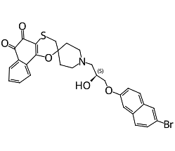 O=C1C(=O)c2ccccc2C2=C1SCC1(CCN(C[C@H](O)COc3ccc4cc(Br)ccc4c3)CC1)O2